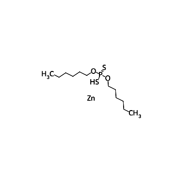 CCCCCCOP(=S)(S)OCCCCCC.[Zn]